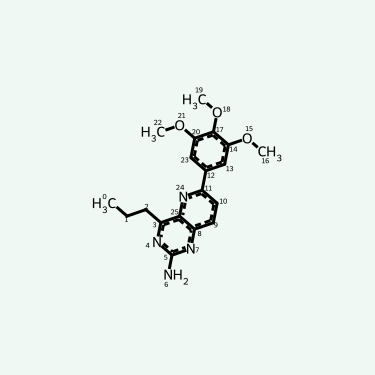 CCCc1nc(N)nc2ccc(-c3cc(OC)c(OC)c(OC)c3)nc12